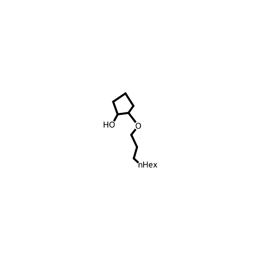 CCCCCCCCCOC1CCCC1O